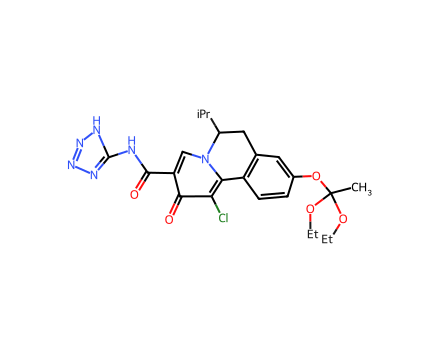 CCOC(C)(OCC)Oc1ccc2c(c1)CC(C(C)C)n1cc(C(=O)Nc3nnn[nH]3)c(=O)c(Cl)c1-2